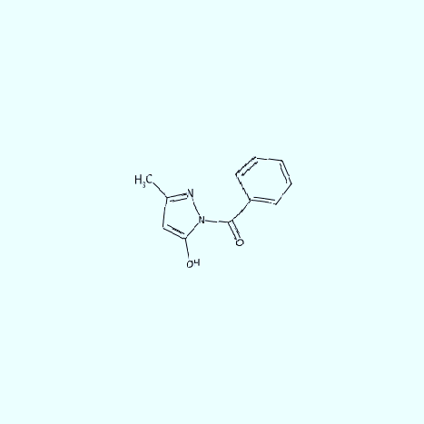 Cc1cc(O)n(C(=O)c2ccccc2)n1